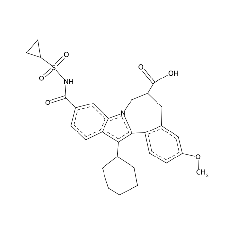 COc1ccc2c(c1)CC(C(=O)O)Cn1c-2c(C2CCCCC2)c2ccc(C(=O)NS(=O)(=O)C3CC3)cc21